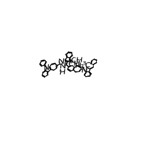 Cc1ccccc1/C=C1\CN(C2=CCc3ccc(C(NC(=N)C4=CCc5c(n(-c6ccccc6)c6ccccc56)C=C4)C4=Cc5ccccc5C4(C)C)cc3C=C2)c2ccccc21